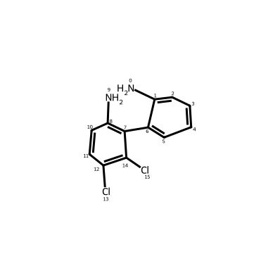 Nc1ccccc1-c1c(N)ccc(Cl)c1Cl